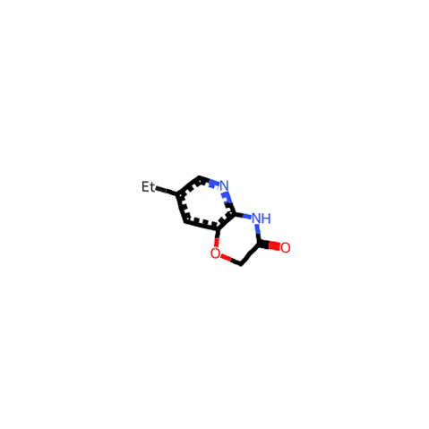 CCc1cnc2c(c1)OCC(=O)N2